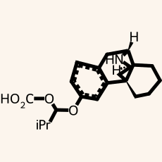 CC(C)C(OC(=O)O)Oc1ccc2c(c1)[C@@]13CCCC[C@@H]1[C@@H](C2)NCC3